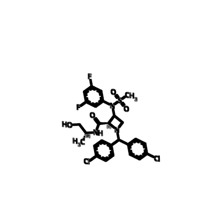 C[C@H](CO)NC(=O)[C@H]1C(N(c2cc(F)cc(F)c2)S(C)(=O)=O)CN1C(c1ccc(Cl)cc1)c1ccc(Cl)cc1